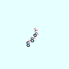 COC(=O)C[C@@H]1COc2cc(O[C@@H]3CCc4c(Oc5ccc6ccccc6n5)ccc(F)c43)ccc21